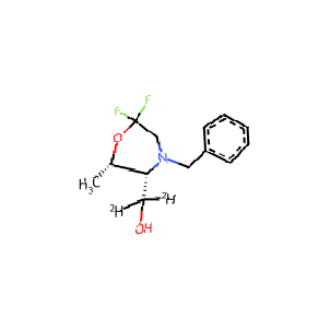 [2H]C([2H])(O)[C@@H]1[C@H](C)OC(F)(F)CN1Cc1ccccc1